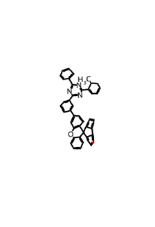 C[C@H]1CC=CC=C1c1nc(-c2ccccc2)nc(-c2cccc(-c3ccc4c(c3)Oc3ccccc3C43c4ccccc4-c4ccccc43)c2)n1